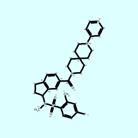 Cc1cc(F)ccc1S(=O)(=O)N(C)C1CCc2ccc(C(=O)N3CCC4(CC3)CCN(c3ccncc3)CC4)cc21